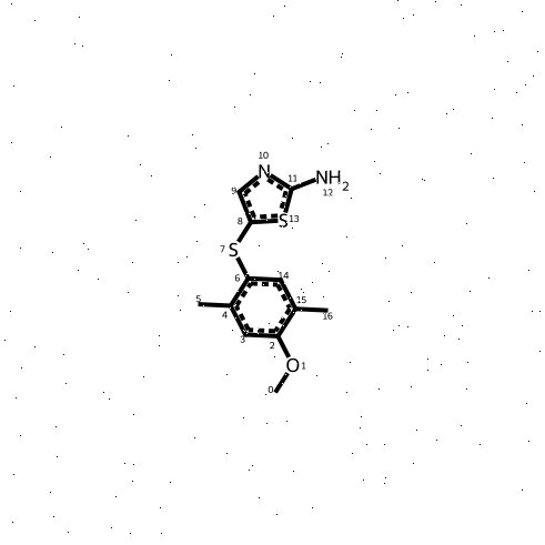 COc1cc(C)c(Sc2cnc(N)s2)cc1C